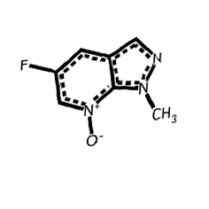 Cn1ncc2cc(F)c[n+]([O-])c21